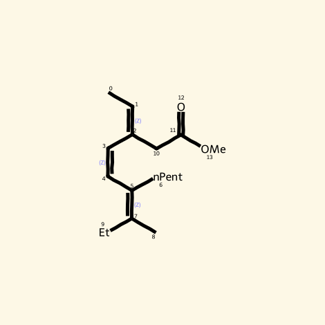 C\C=C(/C=C\C(CCCCC)=C(\C)CC)CC(=O)OC